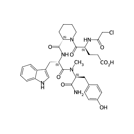 CN(C(=O)[C@H](Cc1c[nH]c2ccccc12)NC(=O)[C@@H]1CCCCN1C(=O)[C@H](CCC(=O)O)NC(=O)CCl)[C@@H](Cc1ccc(O)cc1)C(N)=O